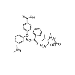 CCC.CCCCN.CNC.N[SH](=O)=O.OC(=S)c1ccc(Oc2ccccc2)cc1.OC(=S)c1ccccc1